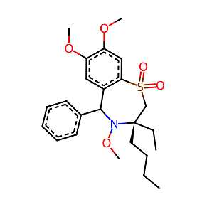 CCCC[C@]1(CC)CS(=O)(=O)c2cc(OC)c(OC)cc2C(c2ccccc2)N1OC